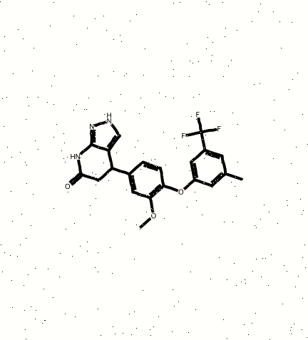 COc1cc(C2CC(=O)Nc3n[nH]cc32)ccc1Oc1cc(C)cc(C(F)(F)F)c1